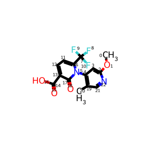 COc1cc(-n2c(C(F)(F)F)ccc(C(=O)O)c2=O)c(C)cn1